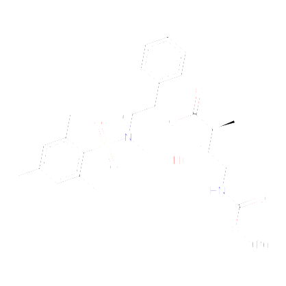 Cc1cc(C)c(S(=O)(=O)N(C)[C@H](C)[C@@H](OC(=O)[C@@H](C)[C@@H](O)CNC(=O)OC(C)(C)C)c2ccccc2)c(C)c1